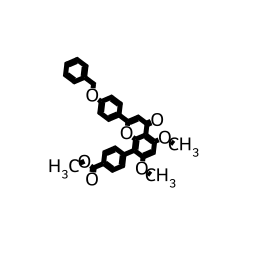 COC(=O)c1ccc(-c2c(OC)cc(OC)c3c(=O)cc(-c4ccc(OCc5ccccc5)cc4)oc23)cc1